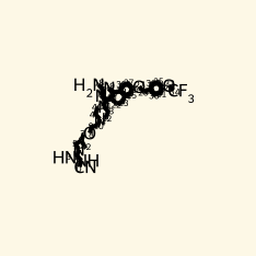 N#CNC(=N)N1CC(COCCN2CCN(c3nc(N)nc4c3CCc3cc(OCc5ccc(OC(F)(F)F)cc5)ccc3-4)CC2)C1